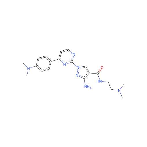 CN(C)CCNC(=O)c1cn(-c2nccc(-c3ccc(N(C)C)cc3)n2)nc1N